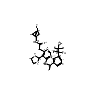 CC(Nc1ncnc(CC(=O)NC23CC(F)(C2)C3)c1C1OCCO1)c1cccc(C(F)(F)C(C)(C)O)c1F